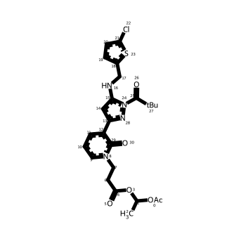 CC(=O)OC(C)OC(=O)CCn1cccc(-c2cc(NCc3ccc(Cl)s3)n(C(=O)C(C)(C)C)n2)c1=O